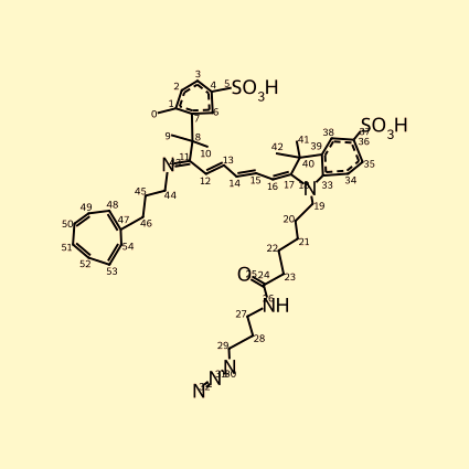 Cc1ccc(S(=O)(=O)O)cc1C(C)(C)C(/C=C/C=C/C=C1/N(CCCCCC(=O)NCCCN=[N+]=[N-])c2ccc(S(=O)(=O)O)cc2C1(C)C)=N/CCCC1=C/C=C\C=C/C=C\1